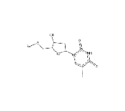 [2H]OCC1OC(n2cc(I)c(=O)[nH]c2=O)CC1O